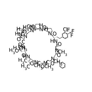 CC[C@H](C)[C@@H]1NC(=O)[C@H](CC(C)C)N(C)C(=O)C[C@@H](C(=O)N2CCCCC2)N(C)C(=O)[C@H](C(C)C)N(C)C(=O)C2(CCCC2)NC(=O)[C@@H]2CCCN2C(=O)[C@H](CCc2ccc(C(F)(F)F)c(Cl)c2)NC(=O)CN(C)C(=O)[C@H](CCc2ccccc2)N(C)C(=O)CN(C)C(=O)CN(C)C1=O